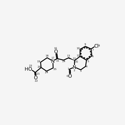 O=CN1CCc2cc(Cl)ccc2[C@@H]1CCC(=O)N1CCC(C(=O)O)CC1